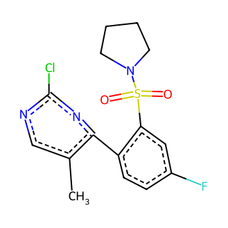 Cc1cnc(Cl)nc1-c1ccc(F)cc1S(=O)(=O)N1CCCC1